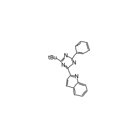 CC(C)(C)c1nc(-c2ccccc2)nc(-c2ccc3ccccc3n2)n1